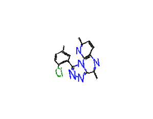 Cc1ccc(Cl)c(-c2nnc3c(C)nc4ccc(C)nc4n23)c1